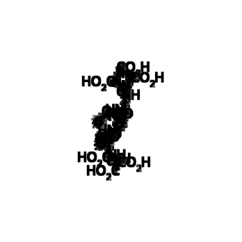 O=C(O)CC[C@H](NC(=O)N[C@@H](CCCCNC(=O)[C@H](Cc1ccc2ccccc2c1)NC(=O)C1CCC(CNC(=O)[C@H](CCCCNC(=O)CN2CCN(CC(=O)O)CCN(CC(=O)O)CCN(CC(=O)O)CC2)NC(=O)CNC(=O)CCc2ccccc2)CC1)C(=O)O)C(=O)O